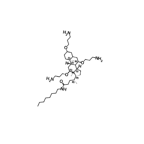 CCCCCCCCNC(=O)CC[C@@H](C)[C@H]1CC[C@H]2C3[C@H](OCCCN)CC4CC(OCCCN)CC[C@]4(C)[C@H]3C[C@H](OCCCN)[C@]12C